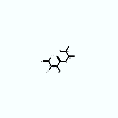 C=C(F)/C(F)=C(/F)C(=C)CC(=C)C(C)C